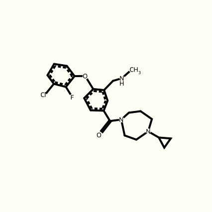 CNCc1cc(C(=O)N2CCCN(C3CC3)CC2)ccc1Oc1cccc(Cl)c1F